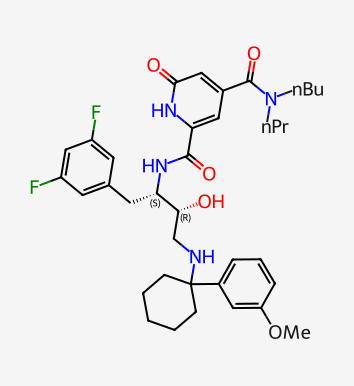 CCCCN(CCC)C(=O)c1cc(C(=O)N[C@@H](Cc2cc(F)cc(F)c2)[C@H](O)CNC2(c3cccc(OC)c3)CCCCC2)[nH]c(=O)c1